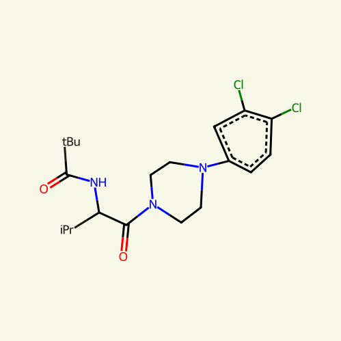 CC(C)C(NC(=O)C(C)(C)C)C(=O)N1CCN(c2ccc(Cl)c(Cl)c2)CC1